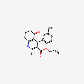 C=CCOC(=O)C1=C(C)NC2=C(C(=O)CCC2)C1c1cccc(OC)c1